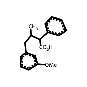 COc1cccc(CC(C)C(C(=O)O)c2ccccc2)c1